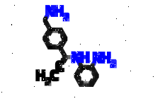 C=C=C(Nc1ccccc1N)c1ccc(CN)cc1